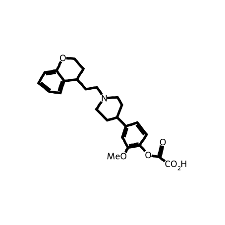 COc1cc(C2CCN(CCC3CCOc4ccccc43)CC2)ccc1OC(=O)C(=O)O